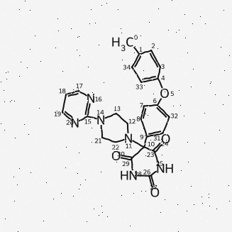 Cc1ccc(Oc2ccc(C3(N4CCN(c5ncccn5)CC4)C(=O)NC(=O)NC3=O)cc2)cc1